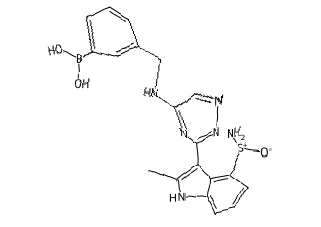 Cc1[nH]c2cccc([S+](N)[O-])c2c1-c1nncc(NCc2cccc(B(O)O)c2)n1